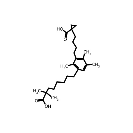 Cc1cc(CCCCCCC(C)(C)C(=O)O)c(C)c(CCCCC2(C(=O)O)CC2)c1C